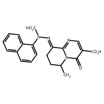 CC1CCC(=NN(C(=O)O)c2cccc3ccccc23)c2ncc(C(=O)O)c(=O)n21